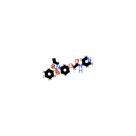 C=CCN(c1cccc(OCC(=O)Nc2ccncc2)c1)S(=O)(=O)c1ccccc1